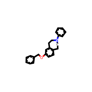 c1ccc(COc2ccc3c(c2)CCN(c2ccccc2)CC3)cc1